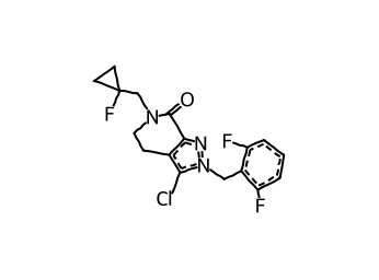 O=C1c2nn(Cc3c(F)cccc3F)c(Cl)c2CCN1CC1(F)CC1